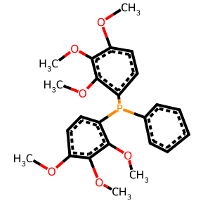 COc1ccc(P(c2ccccc2)c2ccc(OC)c(OC)c2OC)c(OC)c1OC